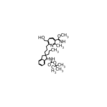 CCCC1(CCCC2=C(CO)C=C=C(C(=N)OC)C(C)=N2)Cc2ccccc2[C@H]1NC(=O)OC(C)(C)C